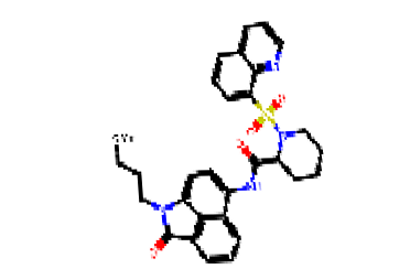 COCCCN1C(=O)c2cccc3c(NC(=O)C4CCCCN4S(=O)(=O)c4cccc5cccnc45)ccc1c23